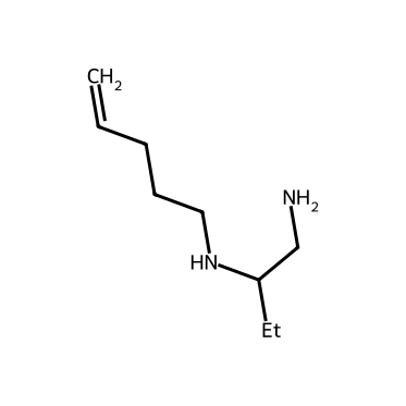 C=CCCCNC(CC)CN